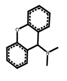 CN(C)C1c2ccccc2Oc2ccccc21